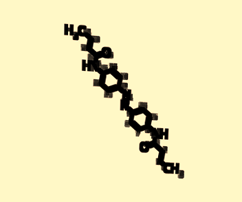 CC=CC(=O)Nc1ccc(N=Nc2ccc(NC(=O)C=CC)cc2)cc1